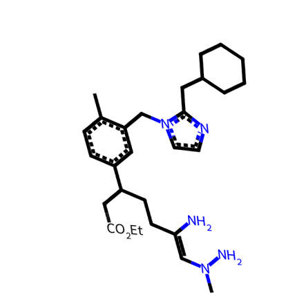 CCOC(=O)CC(CC/C(N)=C/N(C)N)c1ccc(C)c(Cn2ccnc2CC2CCCCC2)c1